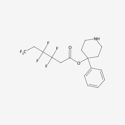 O=C(CC(F)(F)C(F)(F)CC(F)(F)F)OC1(c2ccccc2)CCNCC1